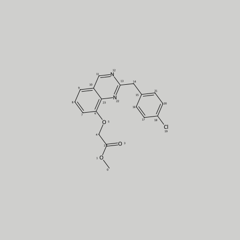 COC(=O)COc1cccc2cnc(Cc3ccc(Cl)cc3)nc12